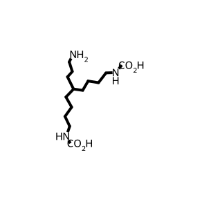 NCCCC(CCCCNC(=O)O)CCCCNC(=O)O